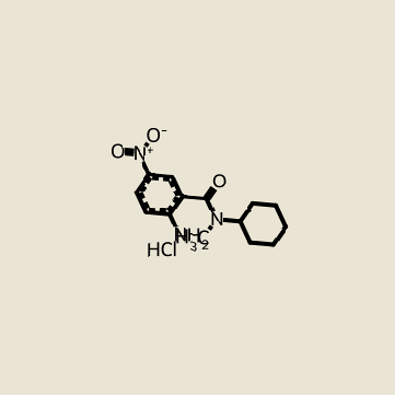 CN(C(=O)c1cc([N+](=O)[O-])ccc1N)C1CCCCC1.Cl